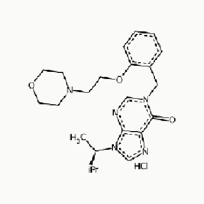 CC(C)[C@@H](C)n1cnc2c(=O)n(Cc3ccccc3OCCN3CCOCC3)cnc21.Cl